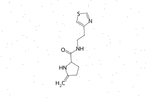 C=C1CCC(C(=O)NCCc2cscn2)N1